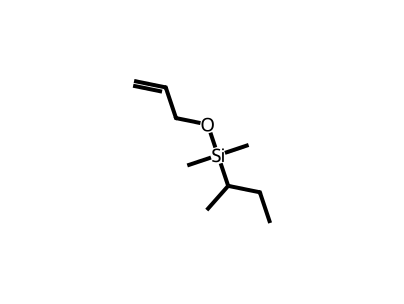 C=CCO[Si](C)(C)C(C)CC